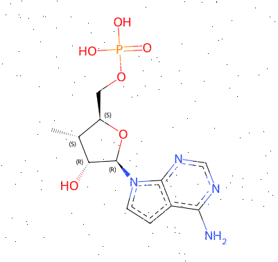 C[C@H]1[C@@H](O)[C@H](n2ccc3c(N)ncnc32)O[C@@H]1COP(=O)(O)O